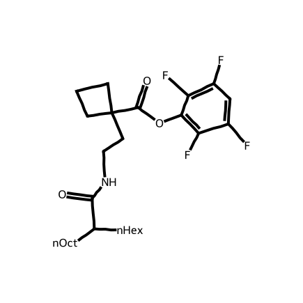 CCCCCCCCC(CCCCCC)C(=O)NCCC1(C(=O)Oc2c(F)c(F)cc(F)c2F)CCC1